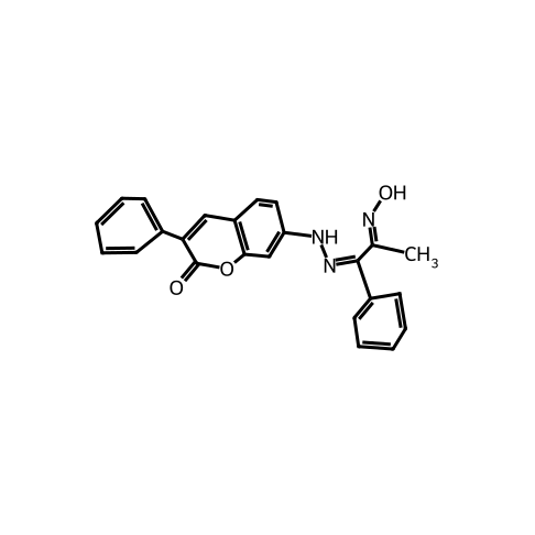 CC(=NO)C(=NNc1ccc2cc(-c3ccccc3)c(=O)oc2c1)c1ccccc1